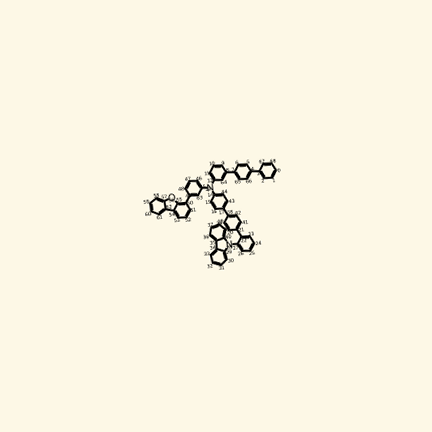 c1ccc(-c2ccc(-c3cccc(N(c4ccc(-c5ccc(-c6ccccc6-n6c7ccccc7c7ccccc76)cc5)cc4)c4cccc(-c5cccc6c5oc5ccccc56)c4)c3)cc2)cc1